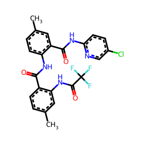 Cc1ccc(C(=O)Nc2ccc(C)cc2C(=O)Nc2ccc(Cl)cn2)c(NC(=O)C(F)(F)F)c1